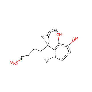 C=C1CC1(CCCCO)c1c(C)ccc(O)c1O